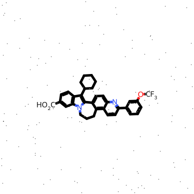 O=C(O)c1ccc2c(C3CCCCC3)c3n(c2c1)CCCc1c-3ccc2nc(-c3cccc(OC(F)(F)F)c3)ccc12